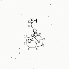 O=C1OC2CC3CC1CC(OCS)(C3)C2